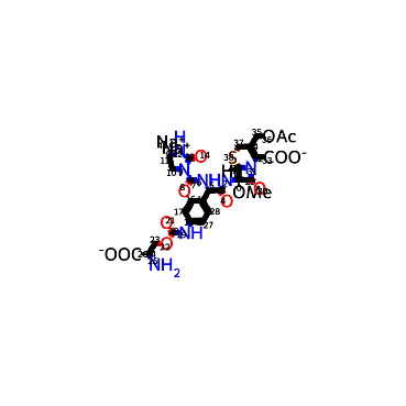 CO[C@@]1(NC(=O)[C@H](NC(=O)N2CCNC2=O)c2ccc(NC(=O)OC[C@@H](N)C(=O)[O-])cc2)C(=O)N2C(C(=O)[O-])=C(COC(C)=O)CS[C@H]21.[Na+].[Na+]